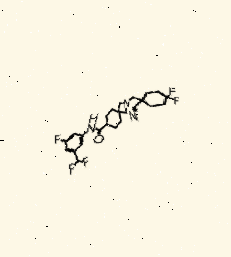 N#CC1(CN2CC3(CCC(C(=O)Nc4cc(F)cc(C(F)F)c4)CC3)C2)CCC(F)(F)CC1